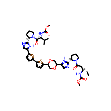 CC[C@@H](CC(=O)N1CCC[C@H]1c1ncc(C2COC(c3ccc(-c4ccc(-c5cnc([C@@H]6CCCN6C(=O)[C@@H](NC(=O)OC)C(C)C)[nH]5)s4)s3)CO2)[nH]1)NC(=O)OC